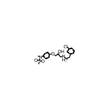 C[C@@H](Cc1cccc(Cl)c1)NC[C@H](O)COc1ccc(N(C)S(C)(=O)=O)cc1